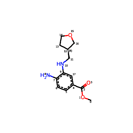 COC(=O)c1ccc(N)c(NC[C@H]2CCOC2)c1